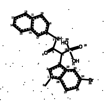 Cn1cc(C(C(=O)Nc2ccc3ccccc3c2)P(=O)(O)O)c2cc(Br)ccc21